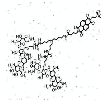 CN(C)CCN1C(=O)c2ccc3c4c(ccc(c24)C1=O)C(=O)N(CCCC(=O)NCCCCCN(CCCCNC(=S)NCCSC[C@H]1OC(O[C@@H]2C(O)[C@H](N)CC(N)[C@H]2O[C@@H]2OC(CN)[C@@H](O)[C@H](O)C2N)[C@@H](O)[C@H]1O[C@H]1O[C@@H](CN)[C@@H](O)C(O)C1N)CCCNC(=S)NCCSC[C@H]1OC(O[C@@H]2C(O)[C@H](N)CC(N)[C@H]2OC2OC(CN)[C@@H](O)[C@H](O)C2N)[C@@H](O)[C@H]1O[C@H]1O[C@@H](CN)[C@@H](O)C(O)C1N)C3=O